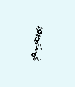 CNS(=O)(=O)c1cccc(OC[C@@H](O)CN[C@H]2COC3(CCN(S(=O)(=O)c4ccc5[nH]c(C)nc5c4)CC3)C2)c1